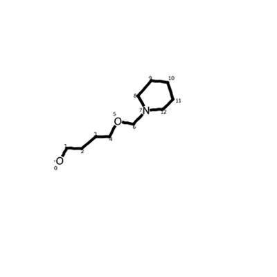 [O]CCCCOCN1CCCCC1